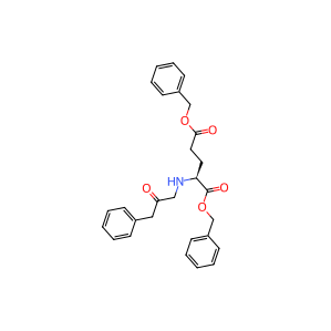 O=C(CN[C@@H](CCC(=O)OCc1ccccc1)C(=O)OCc1ccccc1)Cc1ccccc1